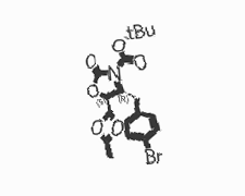 CC1OC([C@H]2OC(=O)N(C(=O)OC(C)(C)C)[C@@H]2Cc2ccc(Br)cc2)O1